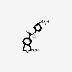 O=C(Nc1ccc(S(=O)(=O)O)cc1)c1ccc2c(c1)B(O)OC2